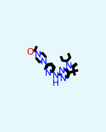 C=C1N(C(CC)CC)c2nc(Nc3ccc(N4CCN(C(C)=O)CC4)cn3)ncc2C1(C)C